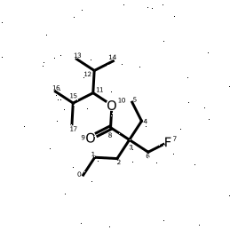 CCCC(CC)(CF)C(=O)OC(C(C)C)C(C)C